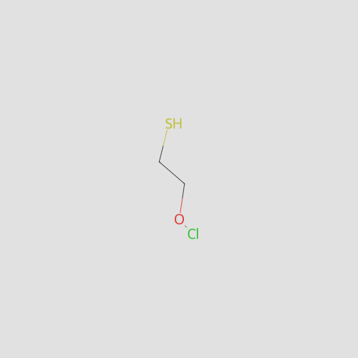 SCCOCl